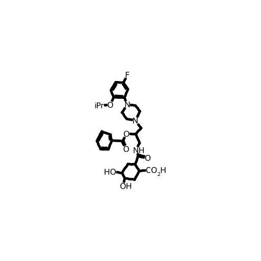 CC(C)Oc1ccc(F)cc1N1CCN(CC(CNC(=O)C2CC(O)C(O)CC2C(=O)O)OC(=O)c2ccccc2)CC1